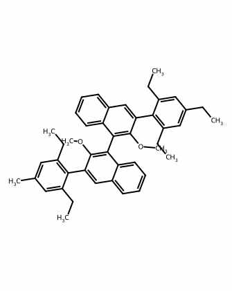 CCc1cc(CC)c(-c2cc3ccccc3c(-c3c(OC)c(-c4c(CC)cc(C)cc4CC)cc4ccccc34)c2OC)c(CC)c1